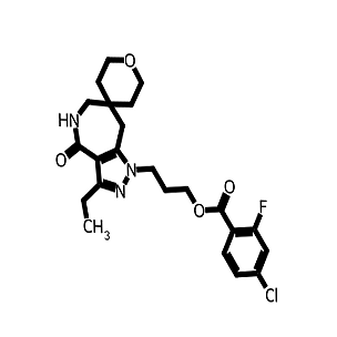 CCc1nn(CCCOC(=O)c2ccc(Cl)cc2F)c2c1C(=O)NCC1(CCOCC1)C2